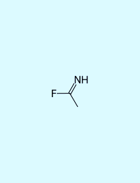 CC(=N)F